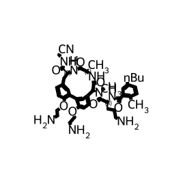 CCCCc1ccc(C)c(C(=O)N[C@@H](CCCN)C(=O)N(C)[C@@H]2C(=O)N[C@@H](C)C(=O)N[C@H](C(=O)NCC#N)Cc3ccc(OCCN)c(c3)-c3cc2ccc3OCCN)c1